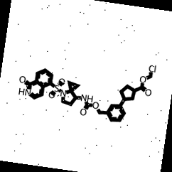 O=C(NC1CCN(S(=O)(=O)c2cccc3c(=O)[nH]ccc23)C12CC2)OCc1cccc(C2CCC(C(=O)OCCl)C2)c1